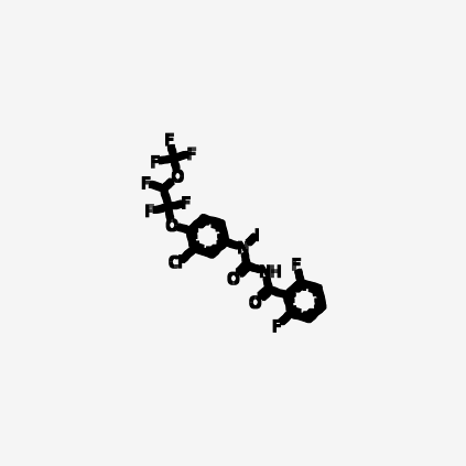 O=C(NC(=O)N(I)c1ccc(OC(F)(F)C(F)OC(F)(F)F)c(Cl)c1)c1c(F)cccc1F